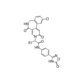 CCC(C(=O)Nc1ccc(-c2noc(=O)[nH]2)cc1)n1cc2c(cc1=O)-c1cc(Cl)ccc1CNC2=O